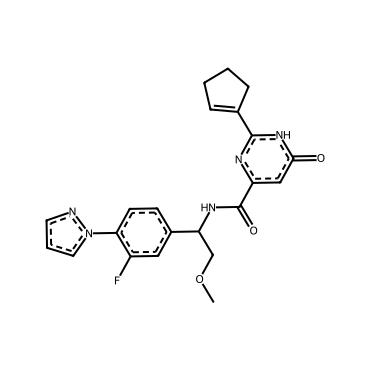 COCC(NC(=O)c1cc(=O)[nH]c(C2=CCCC2)n1)c1ccc(-n2cccn2)c(F)c1